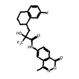 Cc1noc(=O)c2ccc(NC(=O)C(O)(CC3CCCc4ccc(F)cc43)C(F)(F)F)cc12